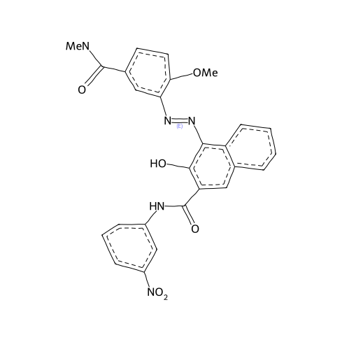 CNC(=O)c1ccc(OC)c(/N=N/c2c(O)c(C(=O)Nc3cccc([N+](=O)[O-])c3)cc3ccccc23)c1